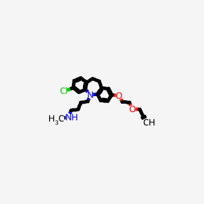 C#CCOCCOc1ccc2c(c1)CCc1ccc(Cl)cc1N2CCCCNC